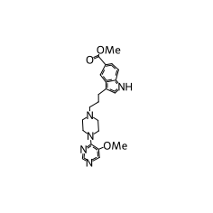 COC(=O)c1ccc2[nH]cc(CCCN3CCN(c4ncncc4OC)CC3)c2c1